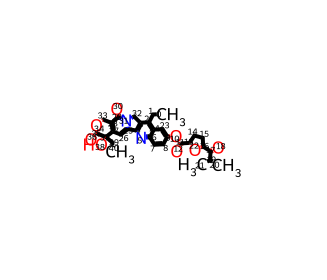 CCc1c2c(nc3ccc(OC(=O)C4CCC(C(=O)C(C)C)O4)cc13)-c1cc3c(c(=O)n1C2)COC(=O)[C@]3(O)CC